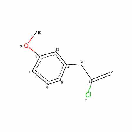 C=C(Cl)Cc1cccc(OC)c1